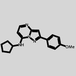 COc1ccc(-c2cc3nccc(NC4CCCC4)n3n2)cc1